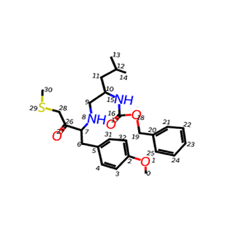 COc1ccc(CC(NCC(CC(C)C)NC(=O)OCc2ccccc2)C(=O)CSC)cc1